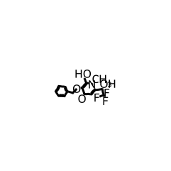 Cn1c(C(O)C(F)(F)F)cc(=O)c(OCc2ccccc2)c1CO